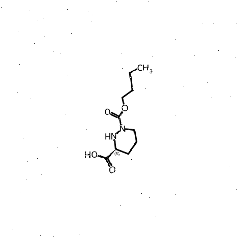 CCCCOC(=O)N1CCC[C@@H](C(=O)O)N1